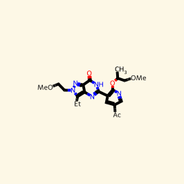 CCc1c2nc(-c3cc(C(C)=O)cnc3OC(C)COC)[nH]c(=O)c2nn1CCOC